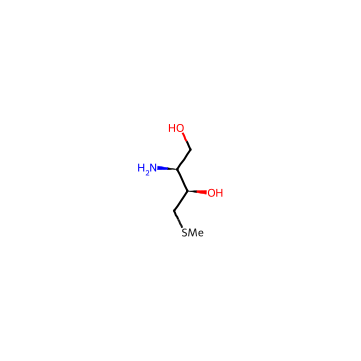 CSC[C@H](O)[C@@H](N)CO